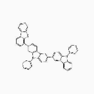 C1=CCCC(N2C3=CC=C(c4ccc5c(c4)c4ccccc4n5-c4ccccc4)CC3c3ccc(-c4cccc5c4sc4ccccc45)cc32)=C1